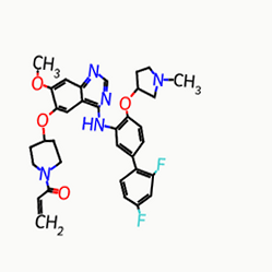 C=CC(=O)N1CCC(Oc2cc3c(Nc4cc(-c5ccc(F)cc5F)ccc4OC4CCN(C)C4)ncnc3cc2OC)CC1